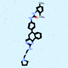 COc1ccc(OC)c(NC(=O)Nc2ccc(C3Cc4cnc(NCCCN5CCCC5)nc4-c4ccccc43)cc2)c1